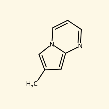 Cc1cc2ncccn2c1